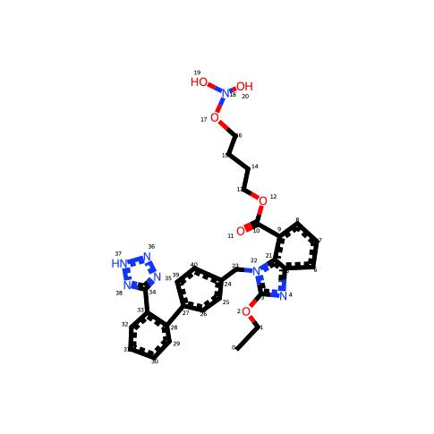 CCOc1nc2cccc(C(=O)OCCCCON(O)O)c2n1Cc1ccc(-c2ccccc2-c2nn[nH]n2)cc1